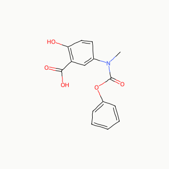 CN(C(=O)Oc1ccccc1)c1ccc(O)c(C(=O)O)c1